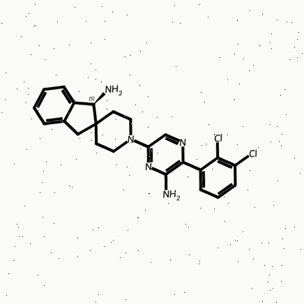 Nc1nc(N2CCC3(CC2)Cc2ccccc2[C@H]3N)cnc1-c1cccc(Cl)c1Cl